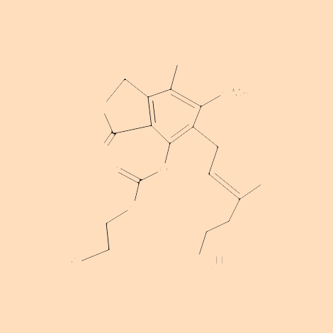 COc1c(C)c2c(c(OC(=O)OCCCl)c1C/C=C(\C)CCC(=O)O)C(=O)OC2